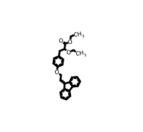 CCOC(=O)C(Cc1ccc(OCC=C2c3ccccc3-c3ccccc32)cc1)OCC